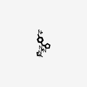 C[C@H]1CCN1c1nc2c(c(-c3ccc(CN(C)C)cc3)n1)CCC2